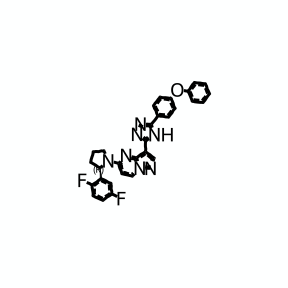 Fc1ccc(F)c([C@H]2CCCN2c2ccn3ncc(-c4nnc(-c5ccc(Oc6ccccc6)cc5)[nH]4)c3n2)c1